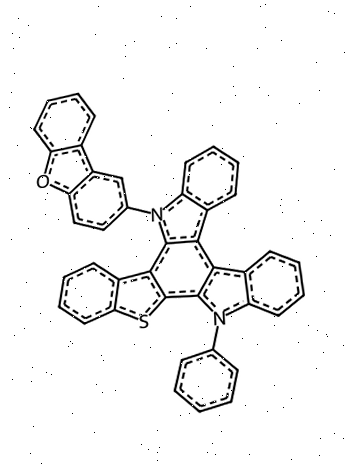 c1ccc(-n2c3ccccc3c3c4c5ccccc5n(-c5ccc6oc7ccccc7c6c5)c4c4c5ccccc5sc4c32)cc1